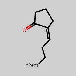 CCCCCCCC=C1CCCC1=O